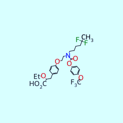 CCOC(Cc1ccc(OCCN(CCCCC(C)(F)F)C(=O)Oc2ccc(OC(F)(F)F)cc2)cc1)C(=O)O